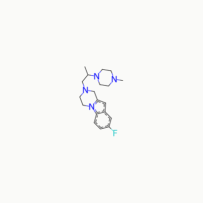 CC(CN1CCn2c(cc3cc(F)ccc32)C1)N1CCN(C)CC1